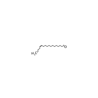 CCCC/C=C\CCCCCCCCCCC[C]=O